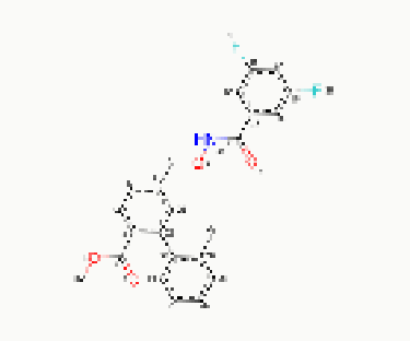 COC(=O)c1ccc(CONC(=O)c2cc(F)cc(F)c2)cc1-c1ccccc1C